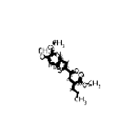 CCCC(CC(=O)c1cc2nc(OC)c(OC)cc2s1)C(=O)OC